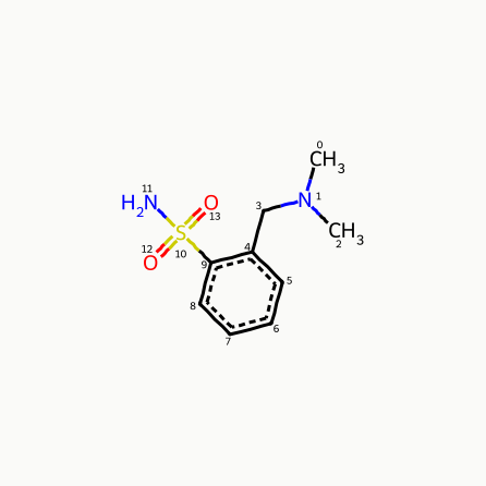 CN(C)Cc1ccccc1S(N)(=O)=O